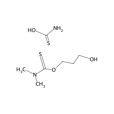 CN(C)C(=S)OCCCO.NC(O)=S